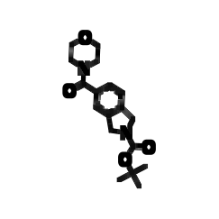 CC(C)(C)OC(=O)N1Cc2ccc(C(=O)N3CCOCC3)cc2C1